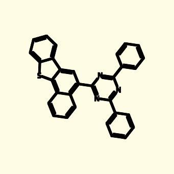 c1ccc(-c2nc(-c3ccccc3)nc(-c3cc4c5ccccc5sc4c4ccccc34)n2)cc1